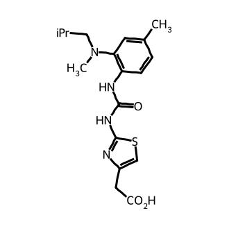 Cc1ccc(NC(=O)Nc2nc(CC(=O)O)cs2)c(N(C)CC(C)C)c1